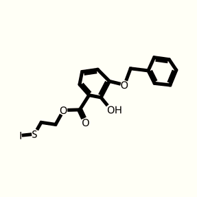 O=C(OCCSI)c1cccc(OCc2ccccc2)c1O